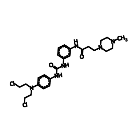 CN1CCN(CCC(=O)Nc2cccc(NC(=O)Nc3ccc(N(CCCl)CCCl)cc3)c2)CC1